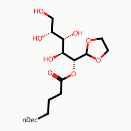 CCCCCCCCCCCCCC(=O)O[C@@H](C1OCCO1)[C@@H](O)[C@@H](O)[C@H](O)CO